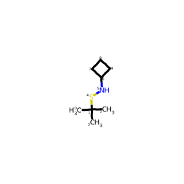 CC(C)(C)SNC1CCC1